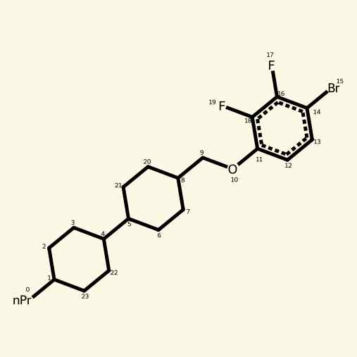 CCCC1CCC(C2CCC(COc3ccc(Br)c(F)c3F)CC2)CC1